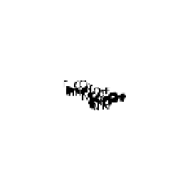 Cn1cc(-c2ccnc(-n3ncc4cc(C(C)(C)C)cc(F)c4c3=O)c2CO)nc(NC(=O)[C@@H]2C[C@@H]2F)c1=O